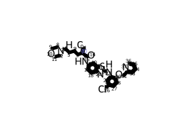 C/C=C(\CCCCN1CCOCC1)C(=O)Nc1ccc2nc(Nc3cc(Cl)ccc3OCc3ccccn3)sc2c1